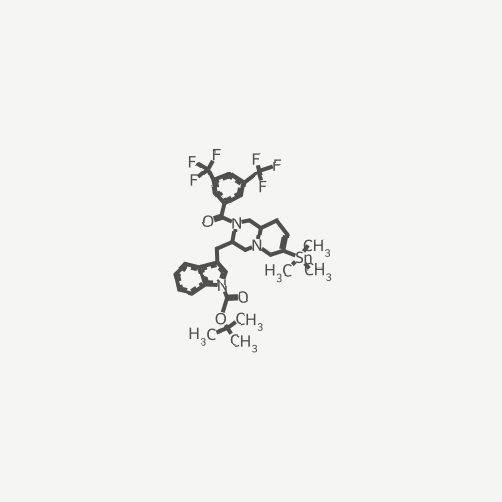 CC(C)(C)OC(=O)n1cc(CC2CN3C[C]([Sn]([CH3])([CH3])[CH3])=CCC3CN2C(=O)c2cc(C(F)(F)F)cc(C(F)(F)F)c2)c2ccccc21